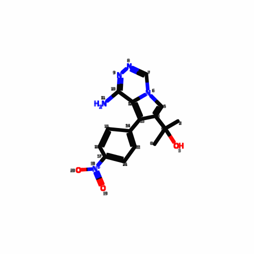 CC(C)(O)c1cn2cnnc(N)c2c1-c1ccc([N+](=O)[O-])cc1